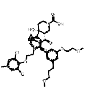 COCCCc1cc(CN(C(=O)[C@H]2CN(C(=O)O)CC[C@]2(O)c2ccn(CCOc3c(Cl)cc(C)cc3Cl)c(=O)c2)C2CC2)cc(OCCOC)c1